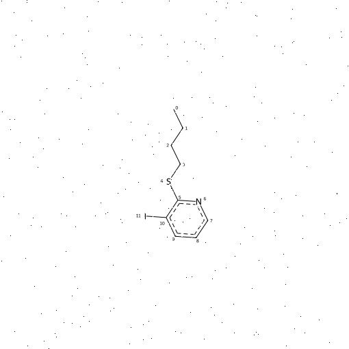 CCCCSc1ncccc1I